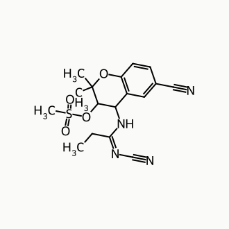 CC/C(=N/C#N)NC1c2cc(C#N)ccc2OC(C)(C)C1OS(C)(=O)=O